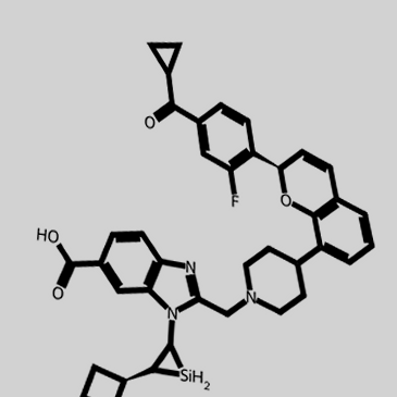 O=C(O)c1ccc2nc(CN3CCC(c4cccc5c4O[C@@H](c4ccc(C(=O)C6CC6)cc4F)C=C5)CC3)n(C3[SiH2]C3[C@@H]3CCO3)c2c1